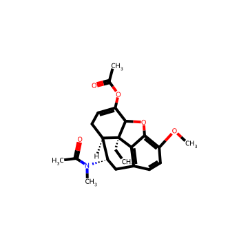 CC[C@@]12c3c4ccc(OC)c3OC1C(OC(C)=O)=CC[C@@H]2[C@@H](N(C)C(C)=O)C4